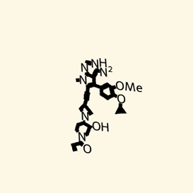 C=CC(=O)N1CC[C@@H](N2CC(C#Cc3c(-c4ccc(OC5CC5)c(OC)c4)c4c(N)ncnc4n3C)C2)[C@@H](O)C1